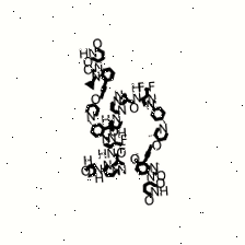 COc1ccc2c(c1C#CCO[C@@H]1CCN(C[C@H]3CC[C@H](n4cc(NC(=O)c5cnn6ccc(N7C[C@H]8C[C@@H]7C(C7C[C@@H](CN9CCC(OCC#Cc%10cccc%11c%10n(C%10CC%10)c(=O)n%11C%10CCC(=O)NC%10=O)CC9)CC[C@@H]7n7cc(NC(=O)c9cnn%10ccc(N%11C[C@H]%12C[C@@H]%11CO%12)nc9%10)c(C(F)F)n7)O8)nc56)c(C(F)F)n4)CC3)C[C@H]1C)n(C)c(=O)n2C1CCC(=O)NC1=O